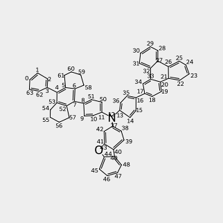 c1ccc(-c2c3c(c(-c4ccc(N(c5ccc(-c6ccc7c8ccccc8c8ccccc8c7c6)cc5)c5ccc6c(c5)oc5ccccc56)cc4)c4c2CCCC4)CCCC3)cc1